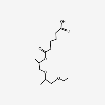 CCOCC(C)OCC(C)OC(=O)CCCCC(=O)O